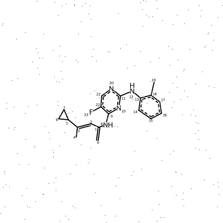 C=C(/C=C(\C)C1CC1)Nc1nc(Nc2ccccc2C)ncc1F